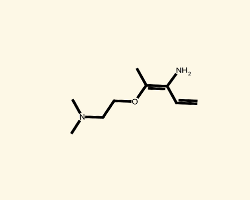 C=C/C(N)=C(/C)OCCN(C)C